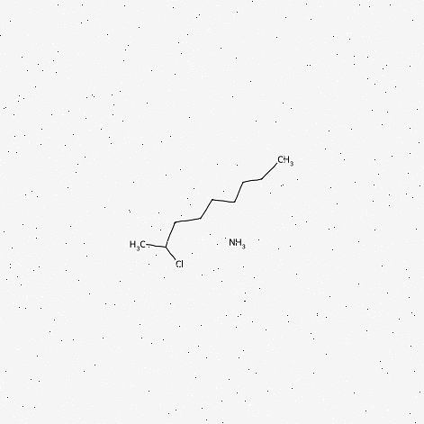 CCCCCCCC(C)Cl.N